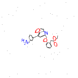 CCOC(=O)Cc1ccccc1OCc1cc(-c2cccc(CN)c2)c2occc2n1